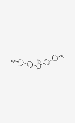 CN1CCN(c2ccc(-c3cnc(-c4ccc(N5CCN(C)CC5)cc4)n3C)cc2)CC1